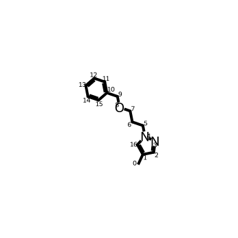 Cc1cnn(CCCOCc2ccccc2)c1